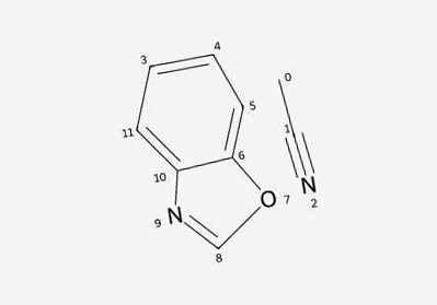 CC#N.c1ccc2ocnc2c1